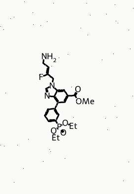 CCOP(=O)(OCC)c1cccc(-c2cc(C(=O)OC)cc3c2ncn3CC(F)=CCN)c1